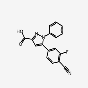 N#Cc1ccc(-c2cc(C(=O)O)nn2-c2ccccc2)cc1F